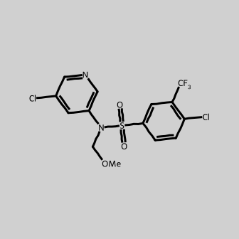 COCN(c1cncc(Cl)c1)S(=O)(=O)c1ccc(Cl)c(C(F)(F)F)c1